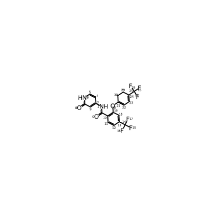 O=C(Nc1cc[nH]c(=O)c1)c1ccc(C(F)(F)F)cc1OC1=CC=C(C(F)(F)F)CC1